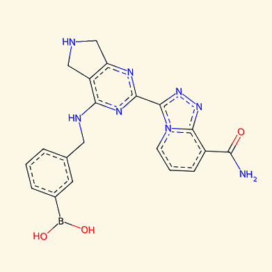 NC(=O)c1cccn2c(-c3nc4c(c(NCc5cccc(B(O)O)c5)n3)CNC4)nnc12